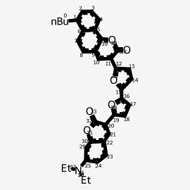 CCCCc1cccc2c1ccc1cc(-c3ccc(-c4ccc(-c5cc6ccc(N(CC)CC)cc6oc5=O)o4)o3)c(=O)oc12